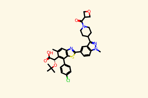 Cc1cc2nc(-c3ccc4c(c3)c(C3CCN(C(=O)C5COC5)CC3)nn4C)sc2c(-c2ccc(Cl)cc2)c1[C@H](OC(C)(C)C)C(=O)O